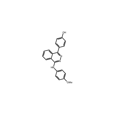 COc1ccc(Nc2nnc(-c3ccc(O)cc3)c3ccccc23)cc1